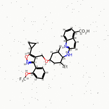 CCC1CC(OCc2c(-c3ccccc3OC(F)(F)F)noc2C2CC2)CC(C)C1Nc1ccc2c(C(=O)O)cccc2n1